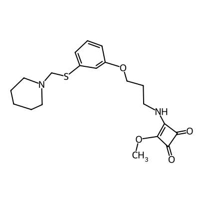 COc1c(NCCCOc2cccc(SCN3CCCCC3)c2)c(=O)c1=O